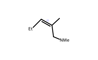 CC/C=C(/C)CNC